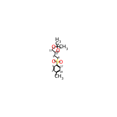 Cc1ccc(S(=O)(=O)CC[C@H]2COC(C)(C)O2)cc1